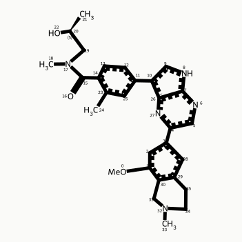 COc1cc(-c2cnc3[nH]cc(-c4ccc(C(=O)N(C)C[C@H](C)O)c(C)c4)c3n2)cc2c1CN(C)CC2